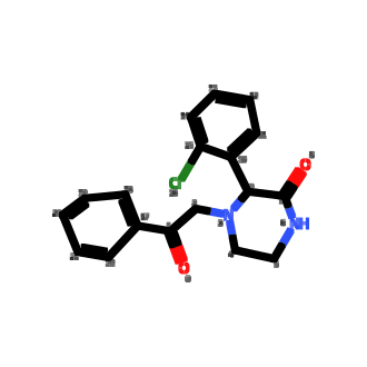 O=C(CN1CCNC(=O)C1c1ccccc1Cl)c1ccccc1